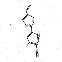 C=Cc1ccc(-c2cc(C)c(C#N)cn2)nc1